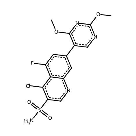 COc1ncc(-c2cc(F)c3c(Cl)c(S(N)(=O)=O)cnc3c2)c(OC)n1